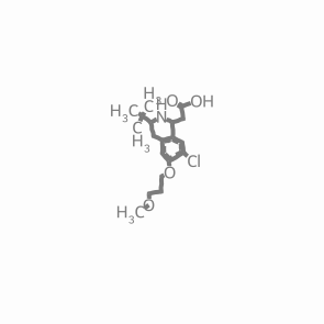 COCCCOc1cc2c(cc1Cl)C(CC(=O)O)NC(C(C)(C)C)C2